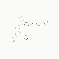 CC1(C)c2ccccc2-c2ccc(-c3ccc4c(ccc5c4c4ccccc4n5-c4cccc(C5N=C(c6ccccc6)N=C(c6ccccc6)N5)c4)c3)cc21